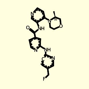 C[C@H]1COCCN1c1ccncc1NC(=O)c1ccnc(Nc2ccc(CF)cn2)c1